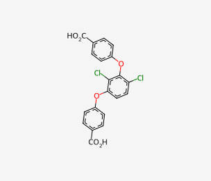 O=C(O)c1ccc(Oc2ccc(Cl)c(Oc3ccc(C(=O)O)cc3)c2Cl)cc1